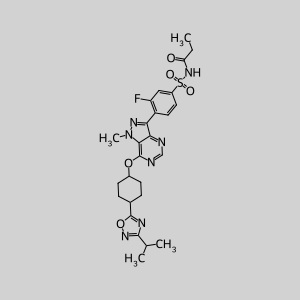 CCC(=O)NS(=O)(=O)c1ccc(-c2nn(C)c3c(OC4CCC(c5nc(C(C)C)no5)CC4)ncnc23)c(F)c1